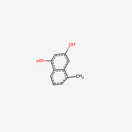 Cc1cccc2c(O)cc(O)cc12